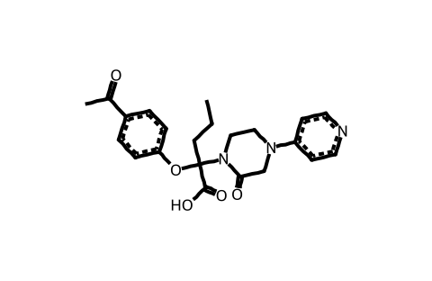 CCCC(Oc1ccc(C(C)=O)cc1)(C(=O)O)N1CCN(c2ccncc2)CC1=O